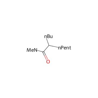 CCCCCC(CCCC)C(=O)NC